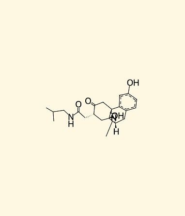 CC(C)CNC(=O)C[C@H]1C[C@@]2(O)[C@H]3Cc4ccc(O)cc4[C@@]2(CCN3C)CC1=O